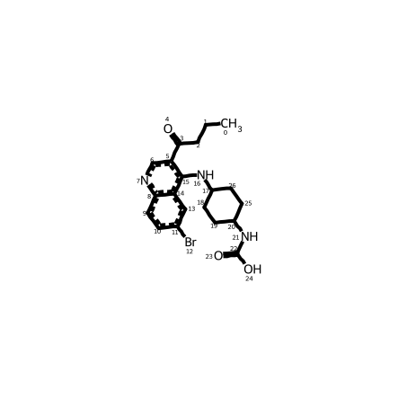 CCCC(=O)c1cnc2ccc(Br)cc2c1NC1CCC(NC(=O)O)CC1